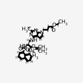 CCOC(=O)CCCn1ccc2c(NC[C@H](NS(=O)(=O)c3cccc4ccccc34)C(=O)OC(C)(C)C)nc(C)nc21